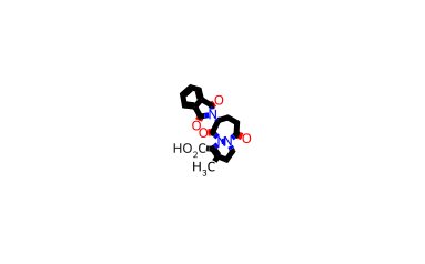 CC1=C(C(=O)O)N2C(=O)C(N3C(=O)c4ccccc4C3=O)CCC(=O)N2CC1